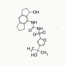 CC(C)(O)c1coc(S(=O)(=O)NC(=O)Nc2c3c(cc4c2C(O)CC4)CCC3)c1